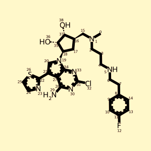 CN(CCCNCCc1ccc(F)cc1)C[C@H]1C[C@@H](n2cc(-c3nccs3)c3c(N)nc(Cl)nc32)[C@H](O)[C@@H]1O